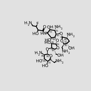 NCC(F)C(O)C(=O)N[C@@H]1[C@@H](O)[C@H](N)[C@@H](O[C@H]2O[C@H](CN)[C@@H](O)C[C@H]2N)[C@H](O[C@@H]2O[C@H](CO)[C@@H](O[C@H]3O[C@@H](CN)[C@@H](O)[C@H](O)[C@H]3N)[C@H]2O)[C@H]1O